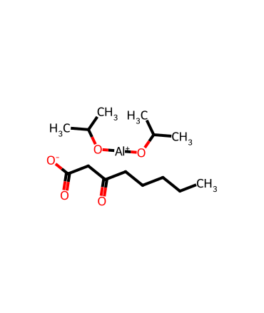 CC(C)[O][Al+][O]C(C)C.CCCCCC(=O)CC(=O)[O-]